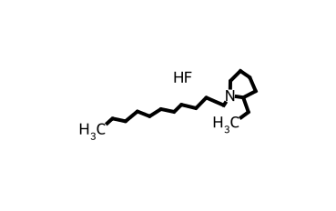 CCCCCCCCCCCN1CCCCC1CC.F